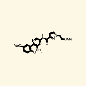 COCCn1ccc(C(=O)Nc2cnc(-c3cc(OC)ccc3Cl)c(N)n2)n1